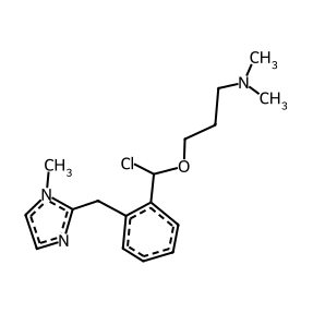 CN(C)CCCOC(Cl)c1ccccc1Cc1nccn1C